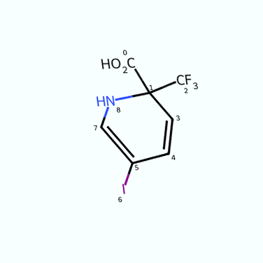 O=C(O)C1(C(F)(F)F)C=CC(I)=CN1